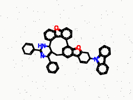 C1=CC(C2=NC(c3ccccc3)=C3Cc4cc(c5oc6c(c5c4)C=CC(n4c5ccccc5c5ccccc54)C6)-c4cccc5oc6cccc(c6c45)C3N2)=CCC1